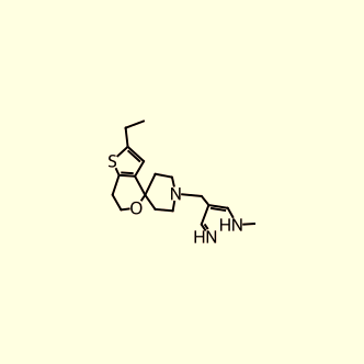 CCc1cc2c(s1)CCOC21CCN(C/C(C=N)=C/NC)CC1